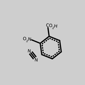 N#N.O=C(O)c1ccccc1[N+](=O)[O-]